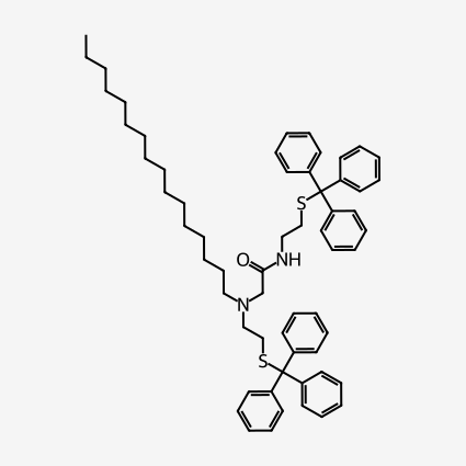 CCCCCCCCCCCCCCCCN(CCSC(c1ccccc1)(c1ccccc1)c1ccccc1)CC(=O)NCCSC(c1ccccc1)(c1ccccc1)c1ccccc1